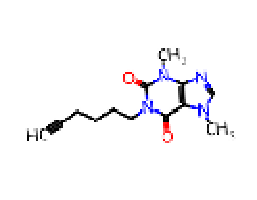 C#CCCCCn1c(=O)c2c(ncn2C)n(C)c1=O